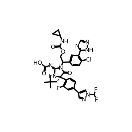 CC(C)(C)C[C@]1(c2ccc(-c3cnn(C(F)F)c3)cc2F)NC(=NC(=O)O)N(C(COC(=O)NC2CC2)c2ccc(Cl)c(-c3ncn[nH]3)c2)C1=O